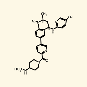 CC(=O)N1c2ccc(-c3ccc(C(=O)N4CCC(NC(=O)O)CC4)nc3)cc2[C@H](Nc2ccc(C#N)cn2)C[C@@H]1C